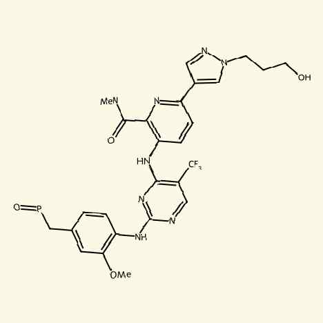 CNC(=O)c1nc(-c2cnn(CCCO)c2)ccc1Nc1nc(Nc2ccc(CP=O)cc2OC)ncc1C(F)(F)F